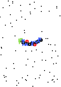 O=C(Nc1ccc2nn(CC(=O)N3CCN(c4ccccn4)CC3)cc2c1)C1=CC=CC(C(F)(F)F)=NC1